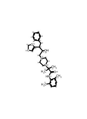 Cc1cccc(C)c1NC(=O)C(C)(C)N1CCN(CC(O)C(Cc2ccccc2)C2=COCO2)CC1